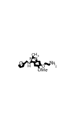 COc1cc2c(NCc3ccco3)nc(C)nc2cc1OCCN